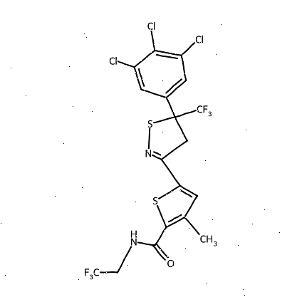 Cc1cc(C2=NSC(c3cc(Cl)c(Cl)c(Cl)c3)(C(F)(F)F)C2)sc1C(=O)NCC(F)(F)F